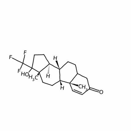 C[C@]12C=CC(=O)CC1CC[C@@H]1[C@H]2CC[C@@]2(C)[C@H]1CCC2(O)C(F)(F)F